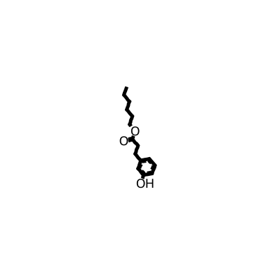 CCCCCCOC(=O)CCc1cccc(O)c1